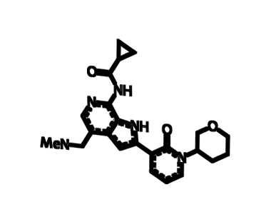 CNCc1cnc(NC(=O)C2CC2)c2[nH]c(-c3cccn(C4CCCOC4)c3=O)cc12